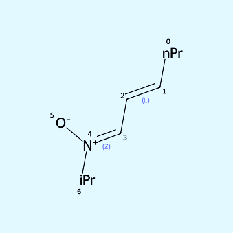 CCC/C=C/C=[N+](\[O-])C(C)C